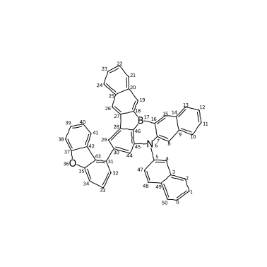 c1ccc2cc(N3c4cc5ccccc5cc4B4c5cc6ccccc6cc5-c5cc(-c6cccc7oc8ccccc8c67)cc3c54)ccc2c1